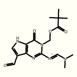 CN(C)/C=N/c1nc2c(C=O)c[nH]c2c(=O)n1COC(=O)C(C)(C)C